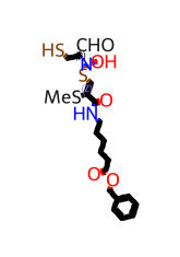 CS/C(=C\SN(O)[C@H](C=O)CS)C(=O)NCCCCCC(=O)OCc1ccccc1